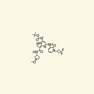 CO[C@@H]1CCC(NC(=O)c2cnn3c(N(C)C(=O)OC(C)(C)C)cc(Nc4cccn(C5CC(F)(F)C5)c4=O)nc23)C1